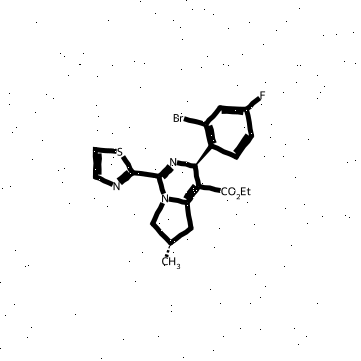 CCOC(=O)C1=C2C[C@H](C)CN2C(c2nccs2)=N[C@H]1c1ccc(F)cc1Br